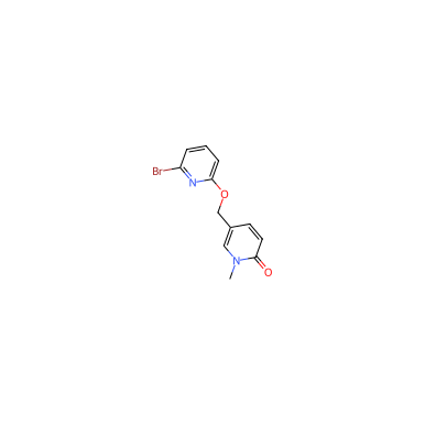 Cn1cc(COc2cccc(Br)n2)ccc1=O